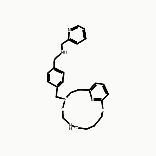 c1ccc(CNCc2ccc(CN3CCNCCCCCc4cccc(n4)CC3)cc2)nc1